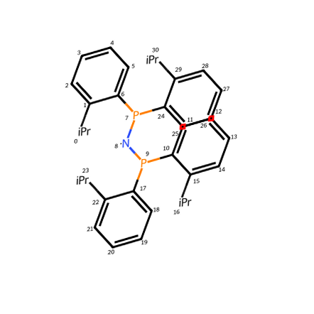 CC(C)c1ccccc1P([N]P(c1ccccc1C(C)C)c1ccccc1C(C)C)c1ccccc1C(C)C